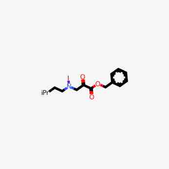 CC(C)CCN(I)CC(=O)C(=O)OCc1ccccc1